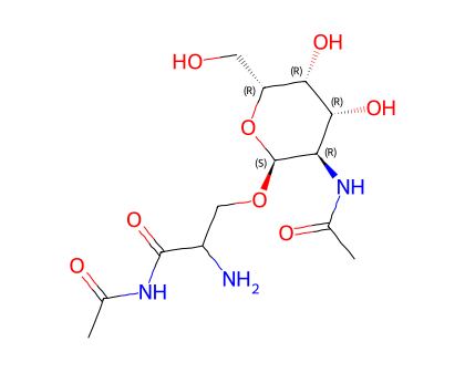 CC(=O)NC(=O)C(N)CO[C@H]1O[C@H](CO)[C@H](O)[C@H](O)[C@H]1NC(C)=O